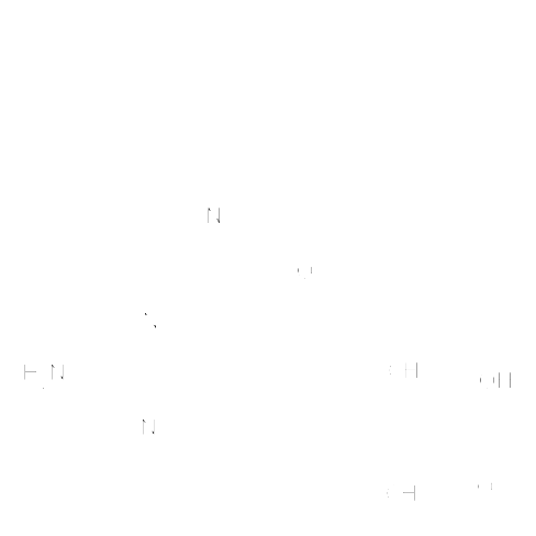 CC(C)(C(=O)O)c1ccc2nc(N)nc(C(=O)N3Cc4ccccc4C3)c2c1